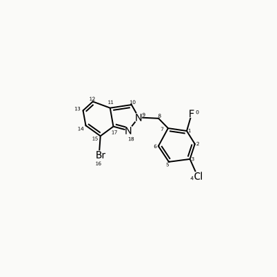 Fc1cc(Cl)ccc1Cn1cc2cccc(Br)c2n1